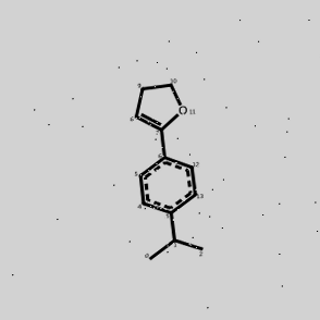 CC(C)c1ccc(C2=CCCO2)cc1